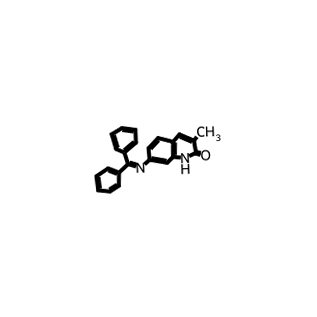 Cc1cc2ccc(N=C(c3ccccc3)c3ccccc3)cc2[nH]c1=O